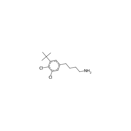 CC(C)(C)c1cc(CCCCN)cc(Cl)c1Cl